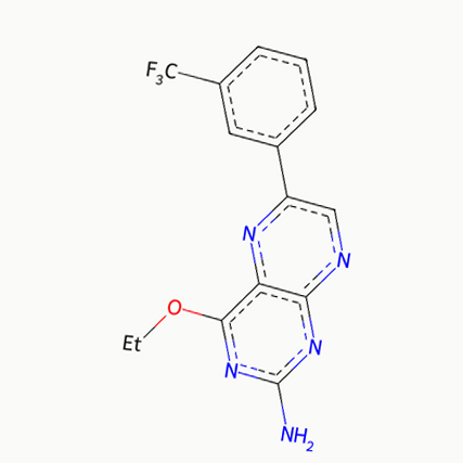 CCOc1nc(N)nc2ncc(-c3cccc(C(F)(F)F)c3)nc12